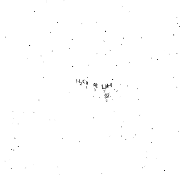 [Al].[CaH2].[LiH].[Si]